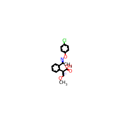 CO/C=C(/C(=O)O)c1ccccc1C(C)=NOc1ccc(Cl)cc1